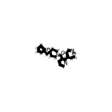 O=C(c1cccnc1C1=CC=NOC=C1)N1CCC(O)(Cc2ccccc2)CC1